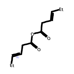 CCC=CCC(=O)OC(=O)C/C=C/CC